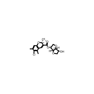 Cc1cc2c(c(C)c1Cl)C=C(C(=O)O[C@H]1CO[C@H]3[C@@H]1OC[C@H]3O)[C@@H](C(F)(F)F)O2